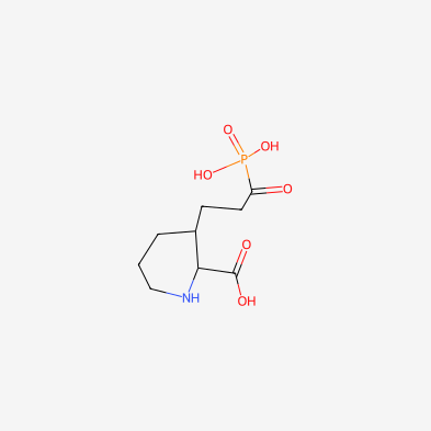 O=C(O)C1NCCCC1CCC(=O)P(=O)(O)O